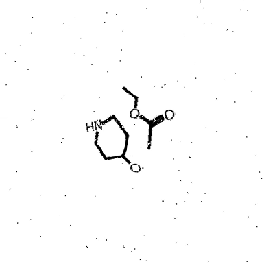 CCOC(C)=O.[O]C1CCNCC1